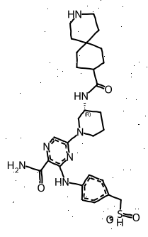 NC(=O)c1ncc(N2CCC[C@@H](NC(=O)C3CCC4(CCNCC4)CC3)C2)nc1Nc1ccc(C[SH](=O)=O)cc1